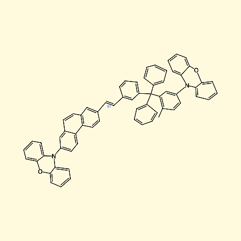 Cc1ccc(N2c3ccccc3Oc3ccccc32)cc1C(c1ccccc1)(c1ccccc1)c1cccc(/C=C/c2ccc3c(ccc4cc(N5c6ccccc6Oc6ccccc65)ccc43)c2)c1